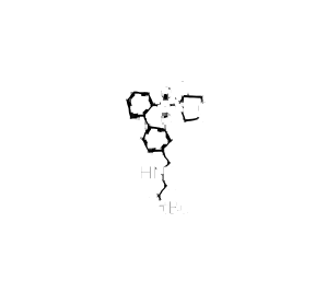 C[C@@H]1COCCN1S(=O)(=O)c1ccccc1-c1ccc(CNCCC(C)(C)C)cc1